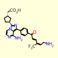 NC/C=C(\C=CC(=O)c1ccc(-c2nc([C@H]3CC[C@H](CC(=O)O)C3)n3ccnc(N)c23)cc1)C(F)(F)F